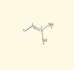 CC=S(S)S